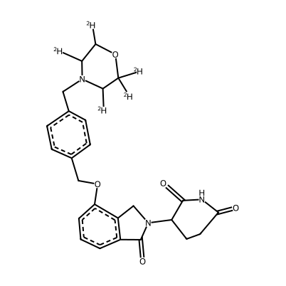 [2H]C1OC([2H])([2H])C([2H])N(Cc2ccc(COc3cccc4c3CN(C3CCC(=O)NC3=O)C4=O)cc2)C1[2H]